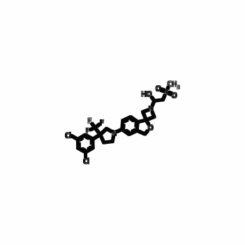 CS(=O)(=O)CC(O)N1CC2(C1)OCc1cc(N3CCC(c4cc(Cl)cc(Cl)c4)(C(F)(F)F)C3)ccc12